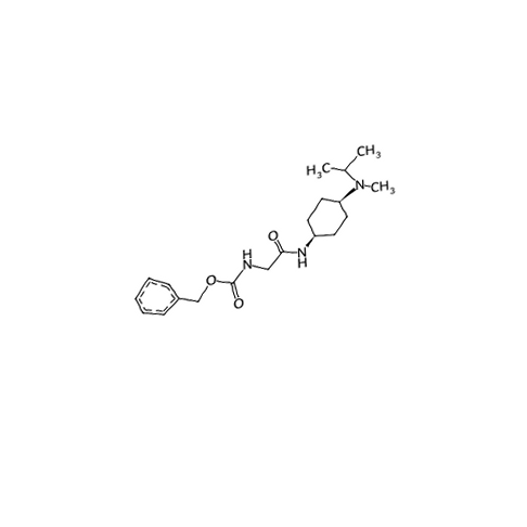 CC(C)N(C)[C@H]1CC[C@@H](NC(=O)CNC(=O)OCc2ccccc2)CC1